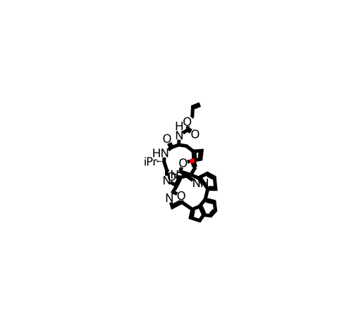 C=CCOC(=O)NC1Cc2ccc3c(c2)C24c5cccc(c5N[C@H]2O3)-c2cccc3c2C(=CC3)c2cnc(o2)-c2nc(oc24)[C@H](C(C)C)NC1=O